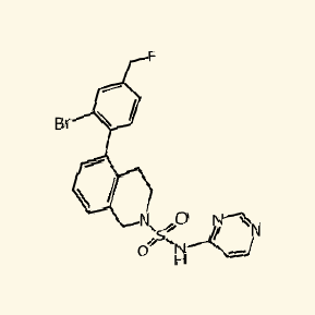 O=S(=O)(Nc1ccncn1)N1CCc2c(cccc2-c2ccc(CF)cc2Br)C1